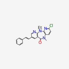 CCN1c2ncc(C=Cc3ccccc3)cc2C(=O)N(C)c2ccc(Cl)nc21